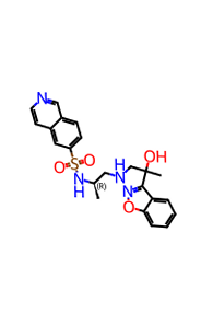 C[C@H](CNCC(C)(O)c1noc2ccccc12)NS(=O)(=O)c1ccc2cnccc2c1